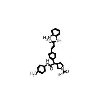 Bc1ccc(NC(=O)C(c2ccc(/C=C/C(=O)Nc3ccccc3N)cc2)C2CCN(C(=O)C(C)C)C2)cc1